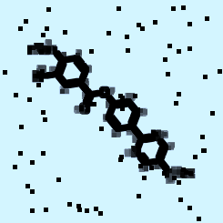 CCCCCCCCCc1ccc(C(=O)Oc2ccc(-c3ncc(CCCCCC)cn3)cc2)cc1Br